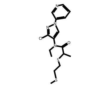 CCN(C(=O)C(C)SCCSC)c1cn(-c2cccnc2)nc1Cl